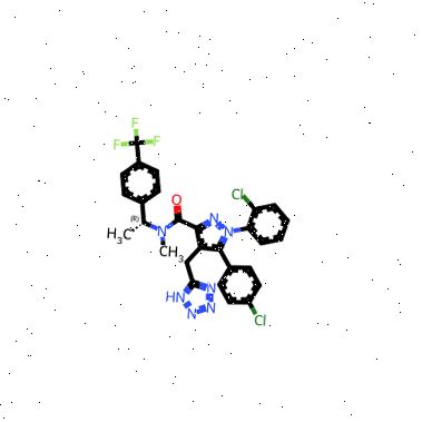 C[C@H](c1ccc(C(F)(F)F)cc1)N(C)C(=O)c1nn(-c2ccccc2Cl)c(-c2ccc(Cl)cc2)c1Cc1nnn[nH]1